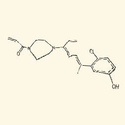 C=CC(=O)N1CCN(/C(C=C)=C/C=C(\C)c2cc(O)ccc2Cl)CC1